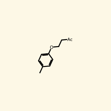 CC(=O)CCOc1ccc(C)cc1